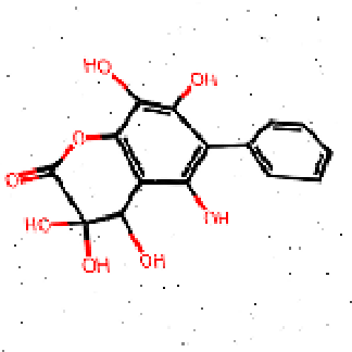 O=C1Oc2c(O)c(O)c(-c3ccccc3)c(O)c2C(O)C1(O)O